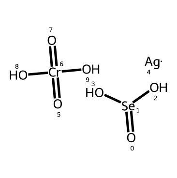 O=[Se](O)O.[Ag].[O]=[Cr](=[O])([OH])[OH]